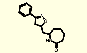 O=C1CCCCC(CC2CC(c3ccccc3)=NO2)N1